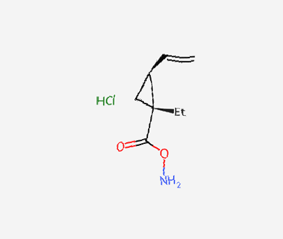 C=C[C@@H]1C[C@@]1(CC)C(=O)ON.Cl